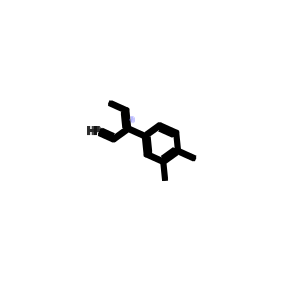 C/C=C(\C=P)c1ccc(C)c(C)c1